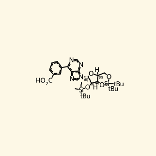 CC(C)(C)[Si](C)(C)O[C@@H]1[C@H]2O[Si](C(C)(C)C)(C(C)(C)C)OC[C@H]2O[C@H]1n1cnc2c(-c3cccc(C(=O)O)c3)ncnc21